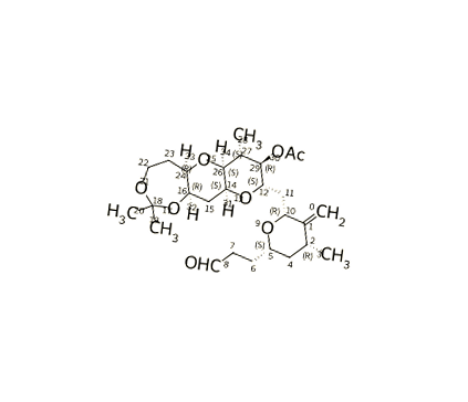 C=C1[C@H](C)C[C@H](CCC=O)O[C@@H]1C[C@@H]1O[C@H]2C[C@H]3OC(C)(C)OCC[C@H]3O[C@H]2[C@H](C)[C@H]1OC(C)=O